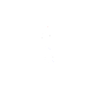 CCc1cc(O)ccc1C(=O)Nc1cccnc1